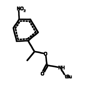 CC(OC(=O)NC(C)(C)C)c1ccc([N+](=O)[O-])cc1